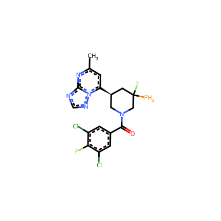 Cc1cc([C@@H]2CN(C(=O)c3cc(Cl)c(F)c(Cl)c3)CC(F)(P)C2)n2ncnc2n1